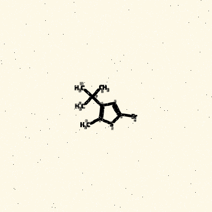 Cc1sc(Br)cc1C(C)(C)C